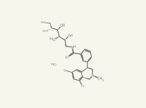 CN1Cc2c(Cl)cc(Cl)cc2C(c2cccc(C(=O)NC[C@H](O)[C@@H](O)[C@H](O)[C@H](O)CO)c2)C1.Cl